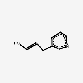 OC=CCc1cccnn1